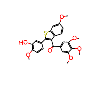 COc1ccc2c(C(=O)c3cc(OC)c(OC)c(OC)c3)c(-c3ccc(OC)c(O)c3)sc2c1